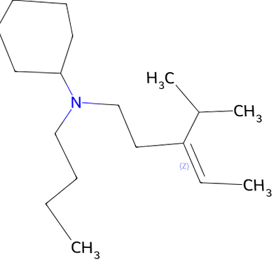 C/C=C(/CCN(CCCC)C1CCCCC1)C(C)C